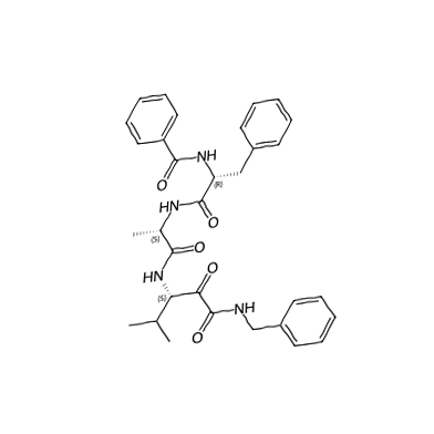 CC(C)[C@H](NC(=O)[C@H](C)NC(=O)[C@@H](Cc1ccccc1)NC(=O)c1ccccc1)C(=O)C(=O)NCc1ccccc1